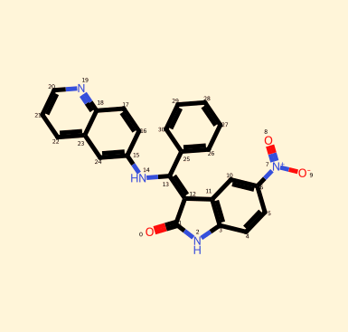 O=C1Nc2ccc([N+](=O)[O-])cc2C1=C(Nc1ccc2ncccc2c1)c1ccccc1